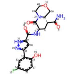 NC(=O)CCC(NC(=O)c1cc(-c2cc(F)ccc2O)n[nH]1)C(=O)N1CCOCC1